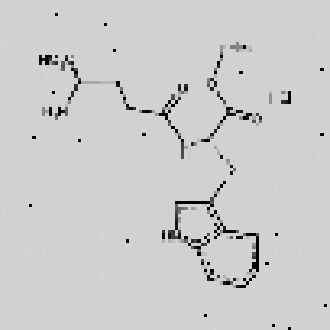 CCCCCCOC(=O)[C@H](Cc1c[nH]c2ccccc12)NC(=O)CC[C@@H](N)C(=O)O.Cl